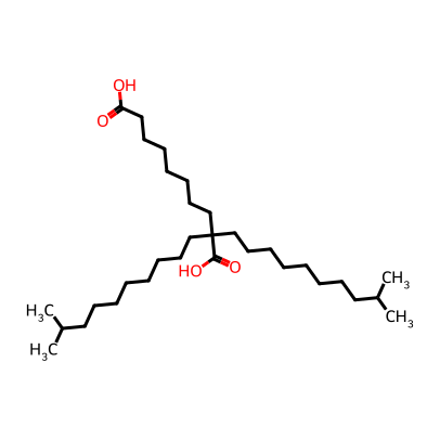 CC(C)CCCCCCCCC(CCCCCCCCC(C)C)(CCCCCCCC(=O)O)C(=O)O